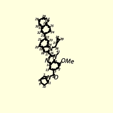 COc1cc(C(=O)N2CC3CCC2C3)cc2nc(-c3cc4ccc(-c5ccc6ncccc6c5)cc4n3CC3CC3)n(C)c12